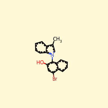 Cc1cn(-c2c(O)cc(Br)c3ccccc23)c2ccccc12